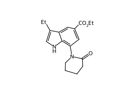 CCOC(=O)c1cc(N2CCCCC2=O)c2[nH]cc(CC)c2c1